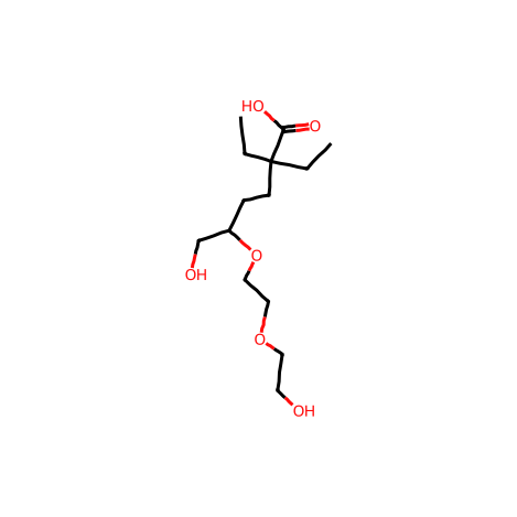 CCC(CC)(CCC(CO)OCCOCCO)C(=O)O